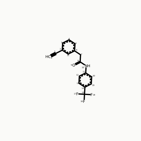 C#Cc1cccc(CC(=O)Nc2ccc(C(F)(F)F)cc2)c1